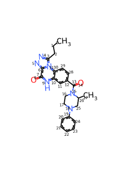 CCCc1nnc2c(=O)[nH]c3cc(C(=O)N4CCN(c5ccccc5)CC4C)ccc3n12